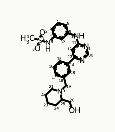 CS(=O)(=O)Nc1cccc(Nc2cc(-c3cccc(CN4CCCCC4CO)c3)ncn2)c1